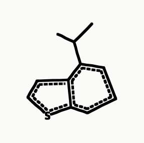 CC(C)c1cccc2sccc12